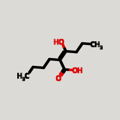 CCCCC(C(=O)O)=C(O)CCC